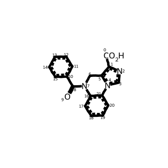 O=C(O)c1ncn2c1CN(C(=O)c1ccccc1)c1ccccc1-2